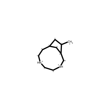 CC1CC2CCNCCBCC1C2